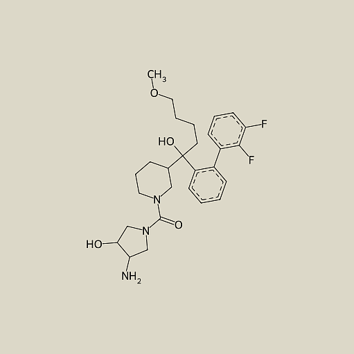 COCCCCC(O)(c1ccccc1-c1cccc(F)c1F)C1CCCN(C(=O)N2CC(N)C(O)C2)C1